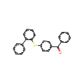 O=C(c1ccccc1)c1ccc(Sc2[c]cccc2-c2ccccc2)cc1